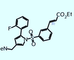 CCOC(=O)/C=C/c1cccc(S(=O)(=O)n2cc(CNC)cc2-c2ccccc2F)c1